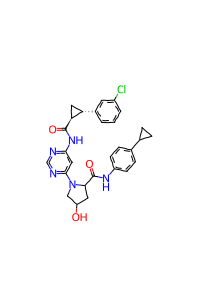 O=C(Nc1ccc(C2CC2)cc1)C1CC(O)CN1c1cc(NC(=O)[C@H]2C[C@@H]2c2cccc(Cl)c2)ncn1